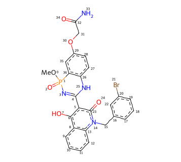 COP1(=O)N=C(c2c(O)c3ccccc3n(Cc3cccc(Br)c3)c2=O)Nc2ccc(OCC(N)=O)cc21